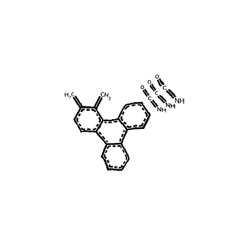 C=c1ccc2c3ccccc3c3ccccc3c2c1=C.N=C=O.N=C=O.N=C=O